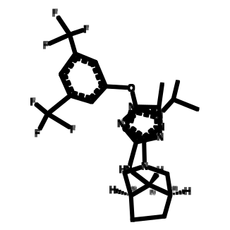 Cc1noc(N2C[C@H]3CC[C@@H](C2)[C@@H]3Nc2nc(Oc3cc(C(F)(F)F)cc(C(F)(F)F)c3)n(C(C)C)n2)n1